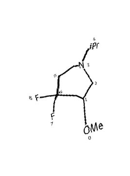 COC1CN(C(C)C)CC1(F)F